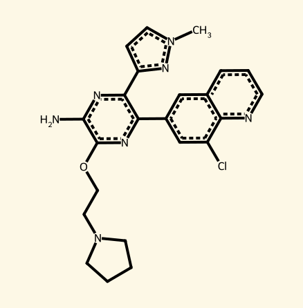 Cn1ccc(-c2nc(N)c(OCCN3CCCC3)nc2-c2cc(Cl)c3ncccc3c2)n1